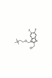 C[Si](C)(C)CCOCn1c(CCl)nc2cc(F)c(F)cc21